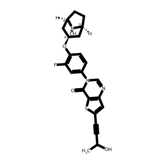 CC(O)C#Cc1cc2ncn(-c3ccc(O[C@H]4C[C@H]5CC[C@@H](C4)N5C)c(F)c3)c(=O)c2s1